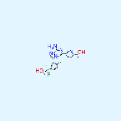 Cc1ccc(C(F)(F)C(C)O)cc1-c1cnc2c(N)nc(-c3ccc(C(C)O)nc3)cn12